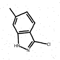 Cc1ccc2c(Cl)n[nH]c2c1